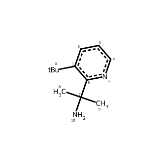 CC(C)(C)c1cccnc1C(C)(C)N